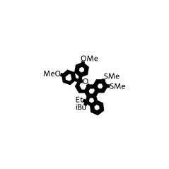 CCC(C)C1(CC)c2ccccc2-c2c1c1c(c3cc(SC)c(SC)cc23)OC(C2=CC=C(OC)CC2)(c2ccc(OC)cc2)C=C1